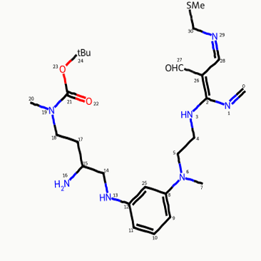 C=N/C(NCCN(C)c1cccc(NCC(N)CCN(C)C(=O)OC(C)(C)C)c1)=C(C=O)\C=N/CSC